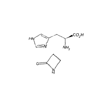 N[C@@H](Cc1c[nH]cn1)C(=O)O.O=C1CCN1